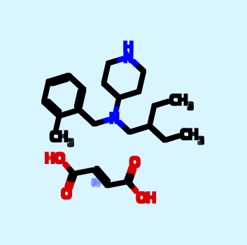 CCC(CC)CN(Cc1ccccc1C)C1CCNCC1.O=C(O)/C=C/C(=O)O